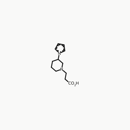 O=C(O)CCN1CCCC(n2cccc2)C1